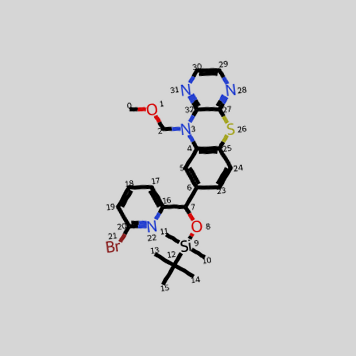 COCN1c2cc(C(O[Si](C)(C)C(C)(C)C)c3cccc(Br)n3)ccc2Sc2nccnc21